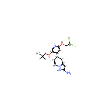 CC(C)(C#N)COc1cnc(OCC(F)F)cc1C1C=Cn2nc(N)cc2C1